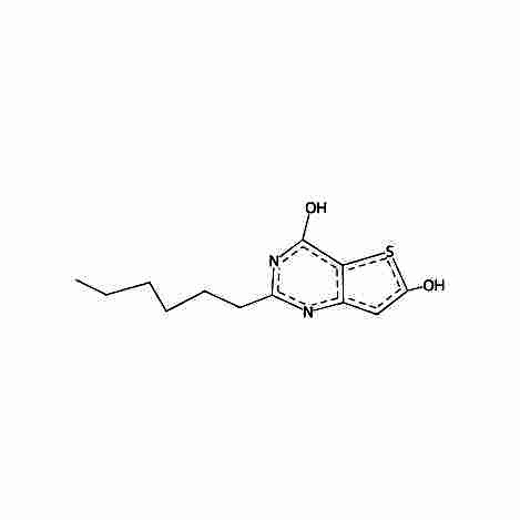 CCCCCCc1nc(O)c2sc(O)cc2n1